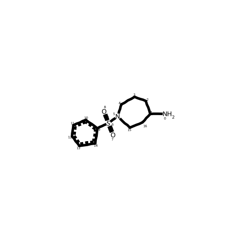 NC1CCCN(S(=O)(=O)c2ccccc2)CC1